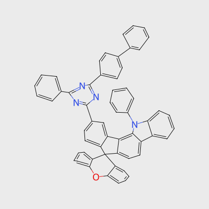 c1ccc(-c2ccc(-c3nc(-c4ccccc4)nc(-c4ccc5c(c4)-c4c(ccc6c7ccccc7n(-c7ccccc7)c46)C54c5ccccc5Oc5ccccc54)n3)cc2)cc1